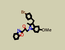 COc1ccc2c(c1)c(Cc1ccc(Br)cc1)c(C)n2CC(=O)c1nc2ccccc2o1